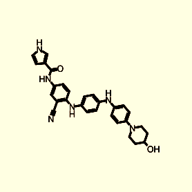 N#Cc1cc(NC(=O)c2cc[nH]c2)ccc1Nc1ccc(Nc2ccc(N3CCC(O)CC3)cc2)cc1